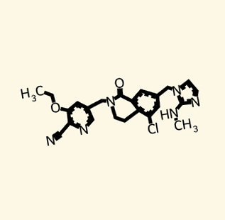 CCOc1cc(CN2CCc3c(Cl)cc(Cn4ccnc4NC)cc3C2=O)cnc1C#N